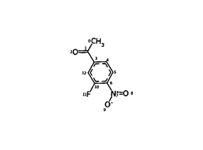 CC(=O)c1ccc([N+](=O)[O-])c(F)c1